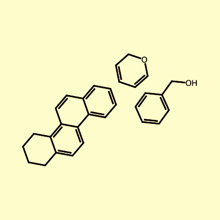 C1=CCOC=C1.OCc1ccccc1.c1ccc2c(c1)ccc1c3c(ccc12)CCCC3